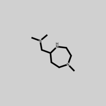 CN(C)CC1CCN(C)CCN1